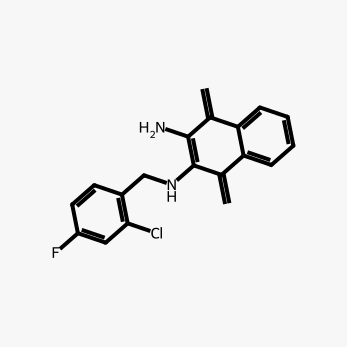 C=c1c(N)c(NCc2ccc(F)cc2Cl)c(=C)c2ccccc12